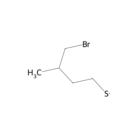 CC(CBr)CC[S]